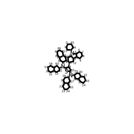 c1ccc(-n2c3ccccc3c3cc(-c4cc(N(c5ccc6ccccc6c5)c5ccc6ccccc6c5)sc4N(c4ccc5ccccc5c4)c4ccc5ccccc5c4)ccc32)cc1